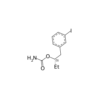 CC[C@@H](Cc1cccc(I)c1)OC(N)=O